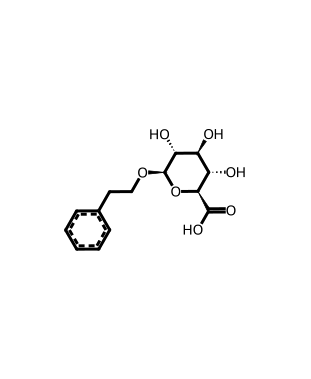 O=C(O)[C@H]1O[C@@H](OCCc2ccccc2)[C@H](O)[C@@H](O)[C@@H]1O